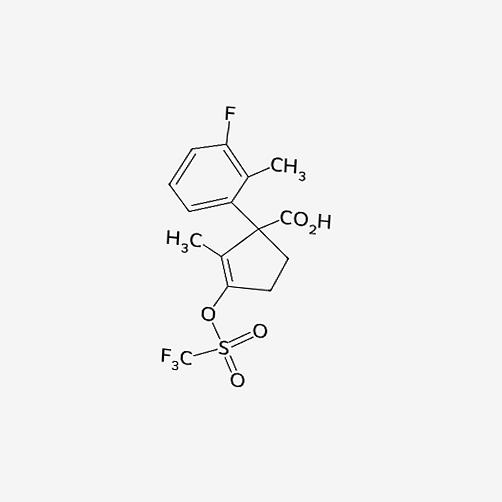 CC1=C(OS(=O)(=O)C(F)(F)F)CCC1(C(=O)O)c1cccc(F)c1C